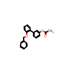 CC(=O)Oc1cccc(-c2ccc[c]c2OCc2ccccc2)c1